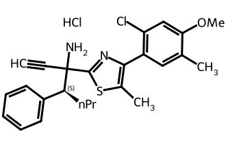 C#CC(N)(c1nc(-c2cc(C)c(OC)cc2Cl)c(C)s1)[C@@H](CCC)c1ccccc1.Cl